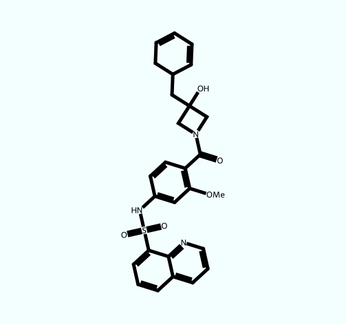 COc1cc(NS(=O)(=O)c2cccc3cccnc23)ccc1C(=O)N1CC(O)(CC2C=CC=CC2)C1